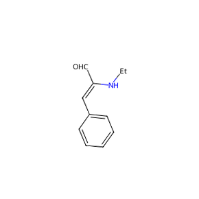 CCNC(C=O)=Cc1ccccc1